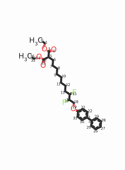 CCOC(=O)C(CCCCCCCCC(F)C(F)COc1ccc(-c2ccccc2)cc1)C(=O)OCC